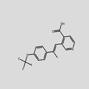 CC(=Cc1cnccc1C(=O)O)c1ccc(OC(F)(F)F)cc1